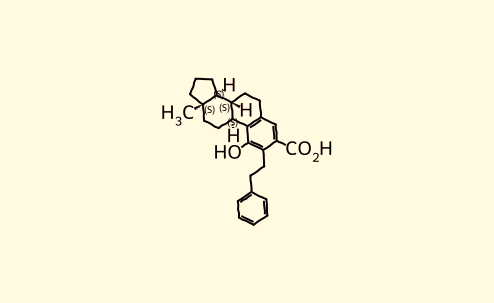 C[C@@]12CCC[C@H]1[C@@H]1CCc3cc(C(=O)O)c(CCc4ccccc4)c(O)c3[C@H]1CC2